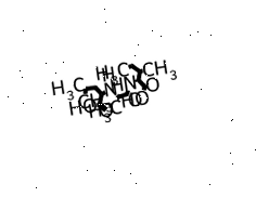 CCC(C)[C@H](NC(=O)[C@H](C)NC(CC(C)C)C(=O)O)C(=O)O